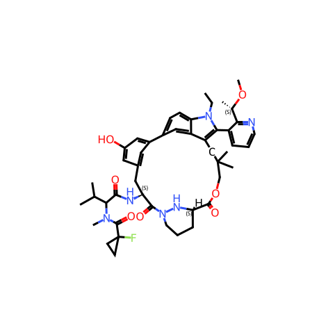 CCn1c(-c2cccnc2[C@H](C)OC)c2c3cc(ccc31)-c1cc(O)cc(c1)C[C@H](NC(=O)C(C(C)C)N(C)C(=O)C1(F)CC1)C(=O)N1CCC[C@H](N1)C(=O)OCC(C)(C)C2